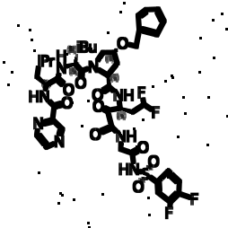 CC[C@@H](C)[C@H](NC(=O)[C@H](CC(C)C)NC(=O)c1cnccn1)C(=O)N1C[C@H](OCc2ccccc2)C[C@H]1C(=O)N[C@@H](CC(F)F)C(=O)C(=O)NCC(=O)NS(=O)(=O)c1ccc(F)c(F)c1